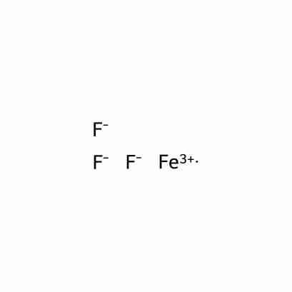 [F-].[F-].[F-].[Fe+3]